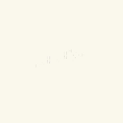 CSCNCCOCCNCCNC(C)C